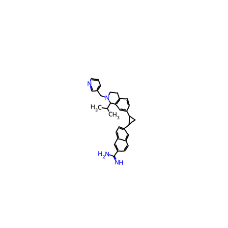 CC(C)C1c2cc(C3CC3c3ccc4cc(C(=N)N)ccc4c3)ccc2CCN1Cc1cccnc1